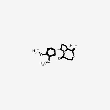 COc1ccc([C@@H]2CC[C@H]3C(=O)SCCC(=O)N32)cc1OC